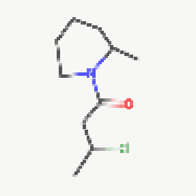 CC(Cl)CC(=O)N1CCCCC1C